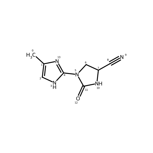 Cc1c[nH]c(N2CC(C#N)NC2=O)n1